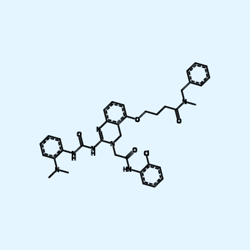 CN(Cc1ccccc1)C(=O)CCCOc1cccc2c1CN(CC(=O)Nc1ccccc1Cl)C(NC(=O)Nc1ccccc1N(C)C)=N2